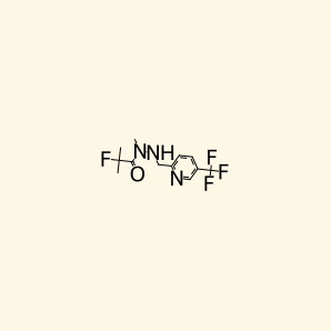 CN(NCc1ccc(C(F)(F)F)cn1)C(=O)C(C)(C)F